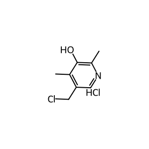 Cc1ncc(CCl)c(C)c1O.Cl